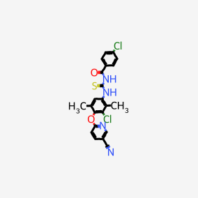 Cc1cc(NC(=S)NC(=O)c2ccc(Cl)cc2)c(C)c(Cl)c1Oc1ccc(C#N)cn1